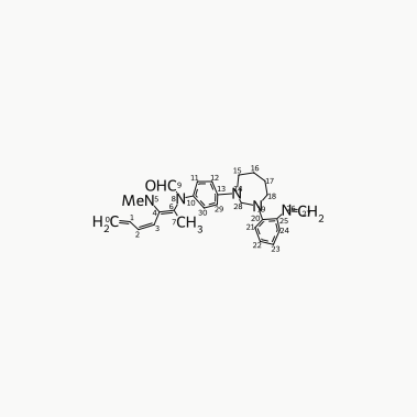 C=C/C=C\C(NC)=C(/C)N(C=O)c1ccc(N2CCCCN(c3ccccc3N=C)C2)cc1